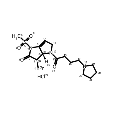 CCC[C@H]1C(=O)N(S(C)(=O)=O)C2=CCN(C(=O)CCCN3CCCC3)[C@@H]21.Cl